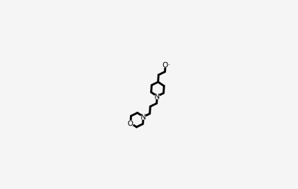 [O]CCC1CCN(CCCN2CCOCC2)CC1